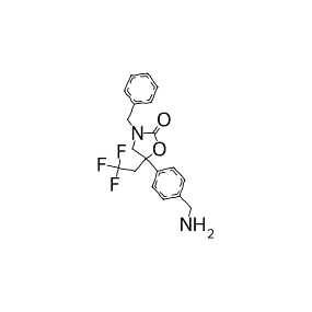 NCc1ccc(C2(CC(F)(F)F)CN(Cc3ccccc3)C(=O)O2)cc1